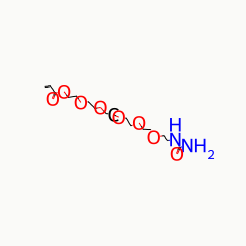 C=CC(=O)OCCOCCOCCOCCOCCOCCNC(N)=O